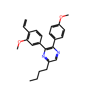 C=Cc1ccc(-c2nc(CCCC)cnc2-c2ccc(OC)cc2)cc1OC